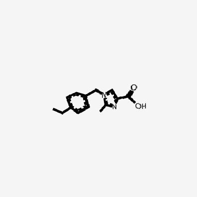 CCc1ccc(Cn2cc(C(=O)O)nc2C)cc1